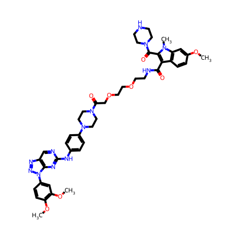 COc1ccc2c(C(=O)NCCOCCOCC(=O)N3CCN(c4ccc(Nc5ncc6nnn(-c7ccc(OC)c(OC)c7)c6n5)cc4)CC3)c(C(=O)N3CCNCC3)n(C)c2c1